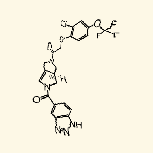 O=C(c1ccc2[nH]nnc2c1)N1C=C2CN(C(=O)COc3ccc(OC(F)(F)F)cc3Cl)C[C@H]2C1